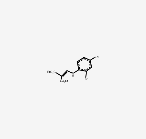 CCOC(=O)C(=CNc1ccc(C#N)cc1Br)C(=O)OCC